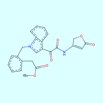 CC(C)(C)OC(=O)Cc1ccccc1Cn1cc(C(=O)C(=O)NC2=CC(=O)OC2)c2ccccc21